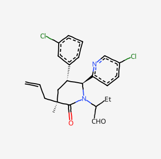 C=CC[C@@]1(C)C[C@H](c2cccc(Cl)c2)[C@@H](c2ccc(Cl)cn2)N(C(C=O)CC)C1=O